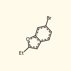 CCc1cc2ccc(Br)cc2o1